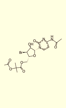 CC(=O)Nc1ccn([C@@H]2O[C@H](COC(=O)C(C)(C)OC(C)=O)[C@@H](Br)[C@H]2O)c(=O)n1